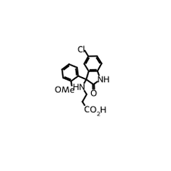 COc1ccccc1C1(NCCC(=O)O)C(=O)Nc2ccc(Cl)cc21